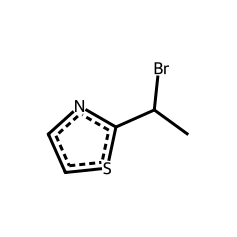 CC(Br)c1nccs1